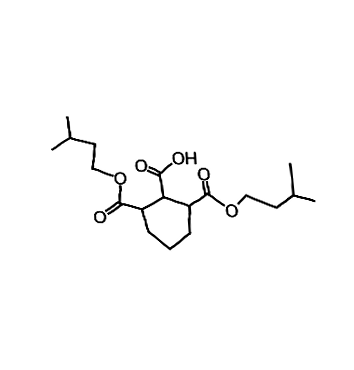 CC(C)CCOC(=O)C1CCCC(C(=O)OCCC(C)C)C1C(=O)O